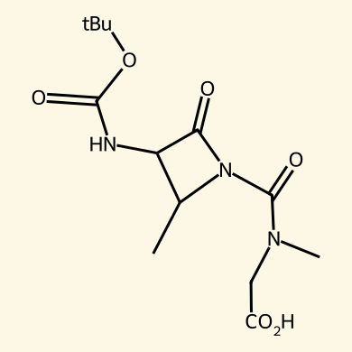 CC1C(NC(=O)OC(C)(C)C)C(=O)N1C(=O)N(C)CC(=O)O